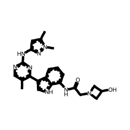 Cc1cnc(Nc2cc(C)n(C)n2)nc1-c1c[nH]c2c(NC(=O)CN3CC(O)C3)cccc12